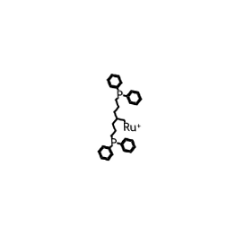 [Ru+][CH2]C(CCCP(c1ccccc1)c1ccccc1)CCCP(c1ccccc1)c1ccccc1